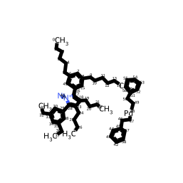 CCCCCCc1cc(CCCCCC)cc(C2=C(CCCC)C(CCCC)=C(c3cc(CC)cc(CC)c3)[N+]2=[N-])c1.c1ccc(C[CH2][Pd][CH2]Cc2ccccc2)cc1